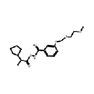 COCCOCOc1cccc(C(=N)NOC(=O)C(C)C2CCCC2)c1